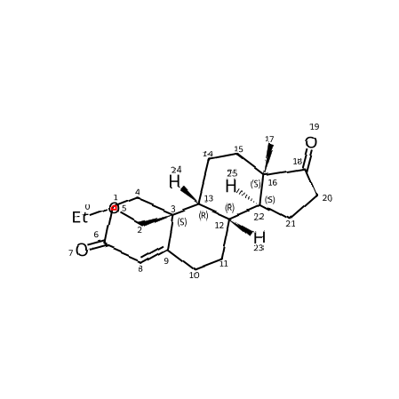 CCOC[C@]12CCC(=O)C=C1CC[C@@H]1[C@H]2CC[C@]2(C)C(=O)CC[C@@H]12